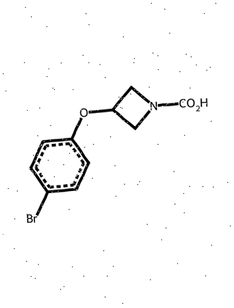 O=C(O)N1CC(Oc2ccc(Br)cc2)C1